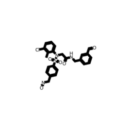 Cc1c(Cl)cccc1N(CC(=O)NCc1cccc(C=O)c1)S(=O)(=O)c1ccc(CN=O)cc1